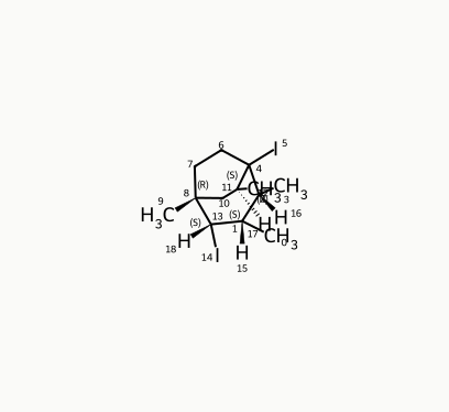 C[C@H]1[C@@H](C)C2(I)CC[C@](C)(C[C@@H]2C)[C@H]1I